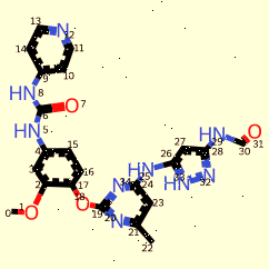 COc1cc(NC(=O)Nc2ccncc2)ccc1Oc1nc(C)cc(Nc2cc(NC=O)n[nH]2)n1